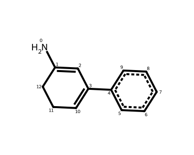 NC1=CC(c2ccccc2)=CCC1